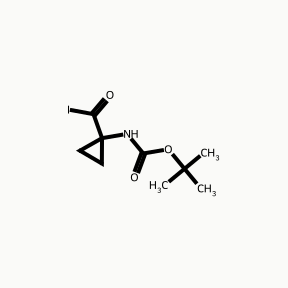 CC(C)(C)OC(=O)NC1(C(=O)I)CC1